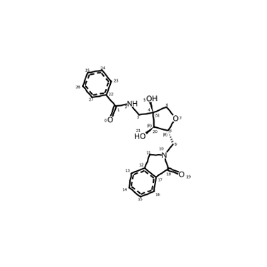 O=C(NC[C@]1(O)CO[C@H](CN2Cc3ccccc3C2=O)[C@H]1O)c1ccccc1